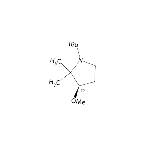 CO[C@@H]1CCN(C(C)(C)C)C1(C)C